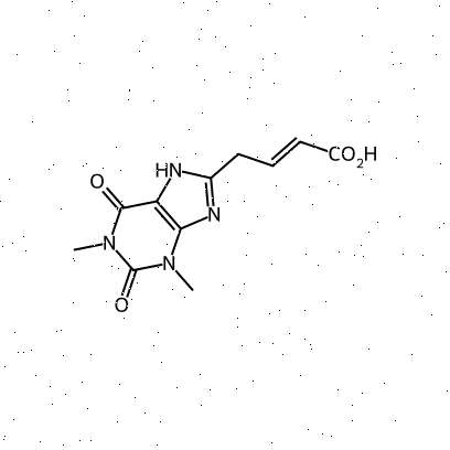 Cn1c(=O)c2[nH]c(CC=CC(=O)O)nc2n(C)c1=O